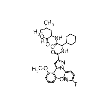 COc1cccc(O)c1-c1cc(C(=O)NC(C(=O)NC(CC(C)C)C(=O)O)C2CCCCC2)nn1C1=C=C=C(F)C=C1